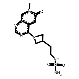 Cn1cc2ncnc(N3CC(CCNS(N)(=O)=O)C3)c2cc1=O